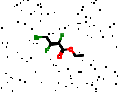 CCOC(=O)C(F)=C(F)CBr